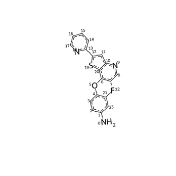 Nc1ccc(Oc2ccnc3cc(-c4ccccn4)sc23)c(F)c1